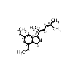 CCc1cc(CC)c2c(c1)C(/C(C)=C/C=C(C)C)=NC2